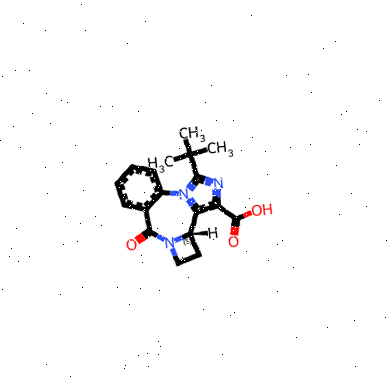 CC(C)(C)c1nc(C(=O)O)c2n1-c1ccccc1C(=O)N1CC[C@@H]21